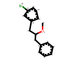 COC(Cc1ccccc1)Cc1cccc(Br)c1